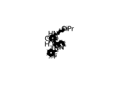 Cc1cc(NCCCOC(C)C)nc(-c2nn(Cc3ccccc3F)c3ncccc23)n1